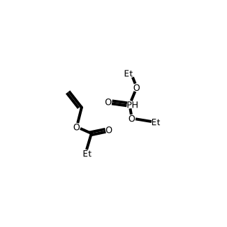 C=COC(=O)CC.CCO[PH](=O)OCC